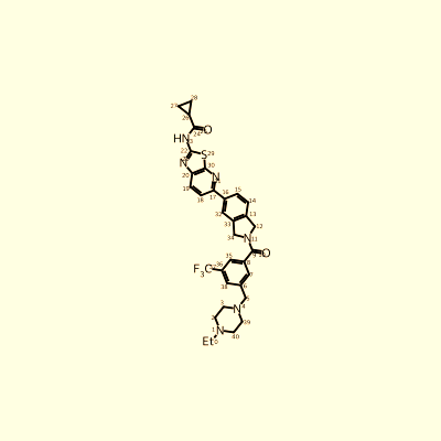 CCN1CCN(Cc2cc(C(=O)N3Cc4ccc(-c5ccc6nc(NC(=O)C7CC7)sc6n5)cc4C3)cc(C(F)(F)F)c2)CC1